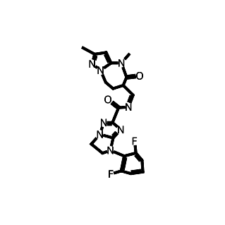 Cc1cc2n(n1)CCC(/C=N\C(=O)c1nc3n(n1)CCN3c1c(F)cccc1F)C(=O)N2C